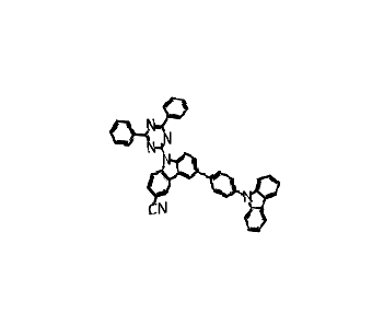 N#Cc1ccc2c(c1)c1cc(-c3ccc(-n4c5ccccc5c5ccccc54)cc3)ccc1n2-c1nc(-c2ccccc2)nc(-c2ccccc2)n1